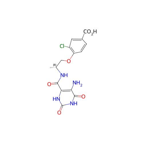 C[C@H](COc1ccc(C(=O)O)cc1Cl)NC(=O)c1[nH]c(=O)[nH]c(=O)c1N